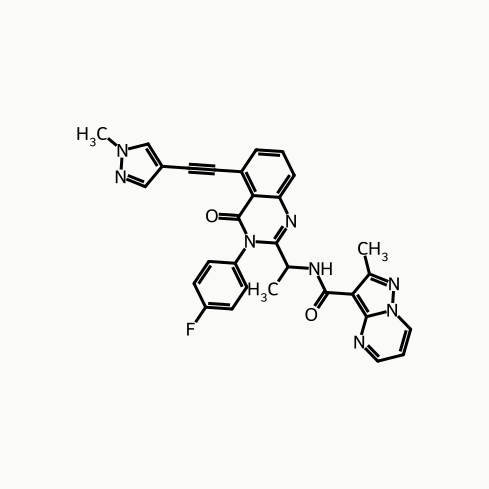 Cc1nn2cccnc2c1C(=O)NC(C)c1nc2cccc(C#Cc3cnn(C)c3)c2c(=O)n1-c1ccc(F)cc1